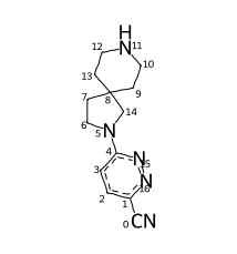 N#Cc1ccc(N2CCC3(CCNCC3)C2)nn1